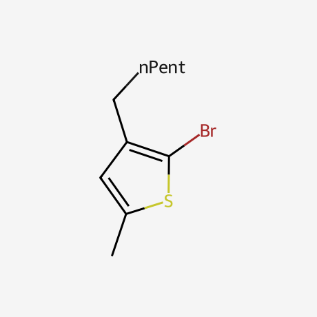 CCCCCCc1cc(C)sc1Br